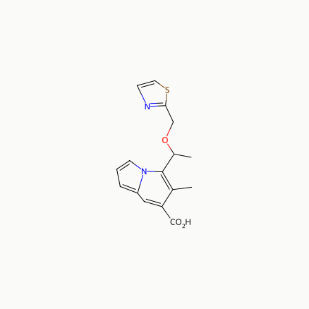 Cc1c(C(=O)O)cc2cccn2c1C(C)OCc1nccs1